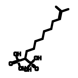 CC(C)=CCCCCCCCC(P(=O)(O)O)P(=O)(O)O